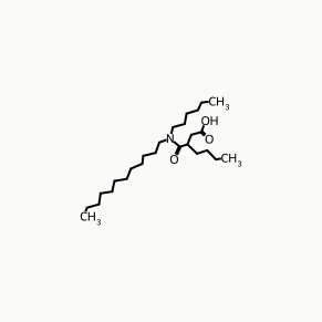 CCCCCCCCCCCCN(CCCCCC)C(=O)C(CCCC)CC(=O)O